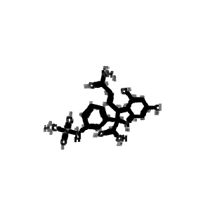 CS(=O)(=O)Nc1cccc(C2(C(=O)O)N=c3cc(Cl)cc(Cl)c3=C2C=CC(N)=O)c1